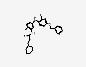 O=C(CCC1CCCCC1)Nc1cc(Nc2ccc(OCc3ccccc3)cc2F)ccc1F